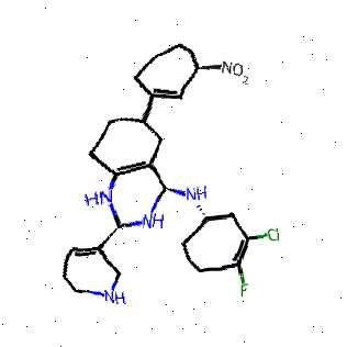 O=[N+]([O-])[C@H]1C=C(C2CCC3=C(C2)[C@@H](N[C@H]2CCC(F)=C(Cl)C2)N[C@@H](C2=CCCNC2)N3)CCC1